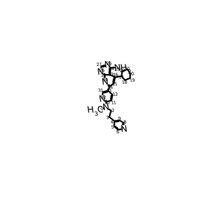 CN(CCc1ccncc1)c1ccc(-c2cc(C3CCCCC3)c3c(N)ncnc3n2)cn1